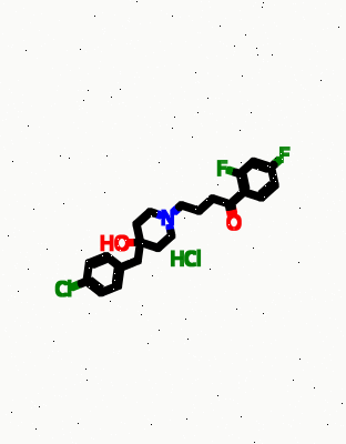 Cl.O=C(CCCN1CCC(O)(Cc2ccc(Cl)cc2)CC1)c1ccc(F)cc1F